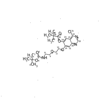 CC(C)(C)OC(=O)NCCOCCOc1cc2ncnc(Cl)c2cc1OC(=O)C(C)(C)C